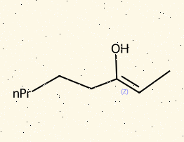 C/C=C(\O)CCCCC